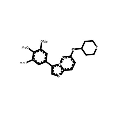 COc1cc(-c2cnc3ccc(NC4CCOCC4)nn23)cc(OC)c1OC